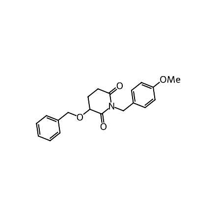 COc1ccc(CN2C(=O)CCC(OCc3ccccc3)C2=O)cc1